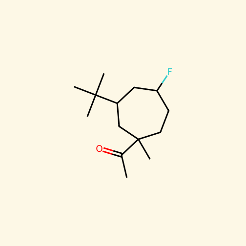 CC(=O)C1(C)CCC(F)CC(C(C)(C)C)C1